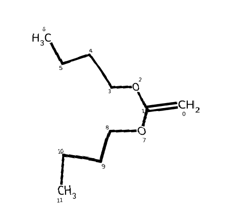 C=C(OCCCC)OCCCC